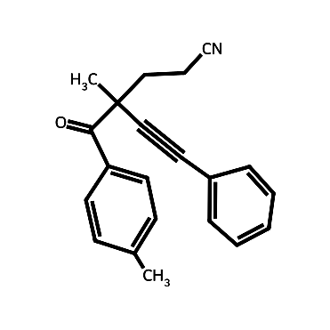 Cc1ccc(C(=O)C(C)(C#Cc2ccccc2)CCC#N)cc1